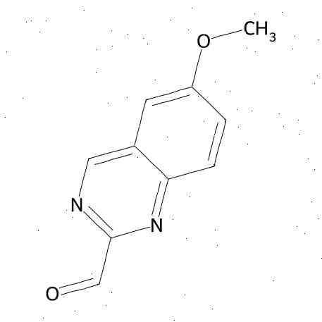 COc1ccc2nc(C=O)ncc2c1